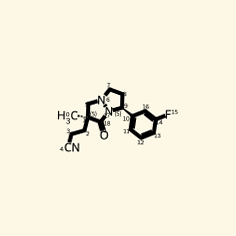 C[C@]1(CCC#N)CN2CC[C@@H](c3cccc(F)c3)N2C1=O